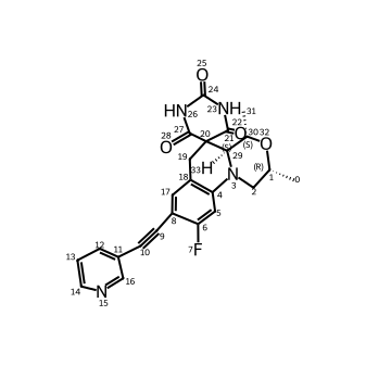 C[C@@H]1CN2c3cc(F)c(C#Cc4cccnc4)cc3CC3(C(=O)NC(=O)NC3=O)[C@H]2[C@H](C)O1